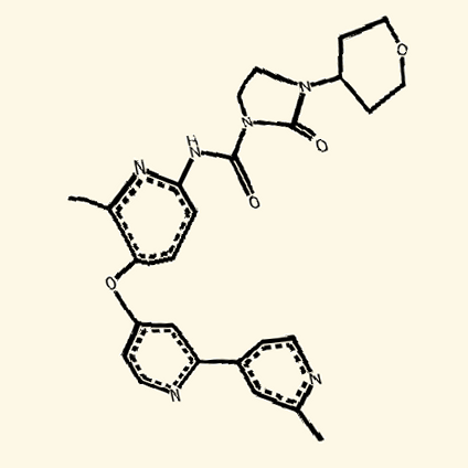 Cc1cc(-c2cc(Oc3ccc(NC(=O)N4CCN(C5CCOCC5)C4=O)nc3C)ccn2)ccn1